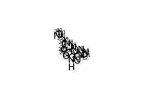 O=C1NC(=O)C(c2cnc3ncccn23)=C1C1=NC=CN2c3c(cccc31)CC2Cc1cccnc1